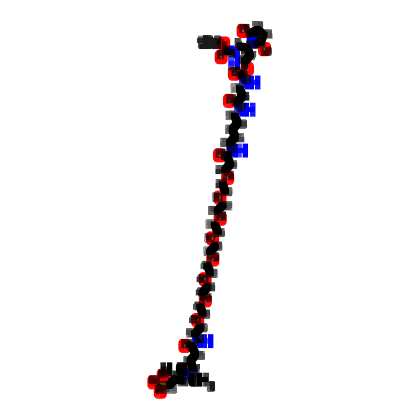 CC(C)(C)OC(=O)NCC(CCOC(=O)NCCC(=O)NCCCCCNC(=O)CCOCCOCCOCCOCCOCCOCCOCCOCCNC(=O)CCC[N+](C)(C)CCCS(=O)(=O)[O-])N1C(=O)C=CC1=O